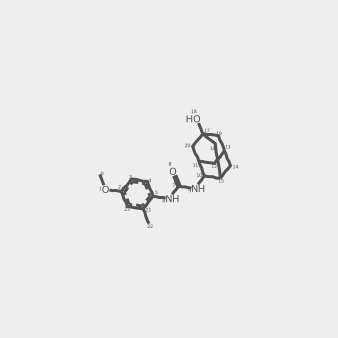 COc1ccc(NC(=O)NC2C3CC4CC2CC(O)(C4)C3)c(C)c1